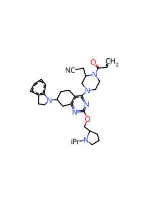 C=CC(=O)N1CCN(c2nc(OCC3CCCN3C(C)C)nc3c2CCC(N2CCc4ccccc42)C3)CC1CC#N